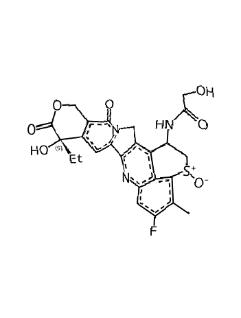 CC[C@@]1(O)C(=O)OCc2c1cc1n(c2=O)Cc2c-1nc1cc(F)c(C)c3c1c2C(NC(=O)CO)C[S+]3[O-]